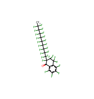 O=C1c2c(F)c(F)c(F)c(F)c2C(F)(F)C(F)(F)C1(F)C(F)(F)C(F)(F)C(F)(F)C(F)(F)C(F)(F)C(F)(F)C(F)(F)C(F)(F)C(F)(F)C(F)(F)F